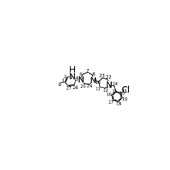 CC1=CNC(N2CCCN(C3CCN(Cc4ccccc4Cl)CC3)CC2)C=C1